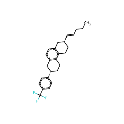 CCCC=C[C@H]1CCc2c(ccc3c2CC[C@H](c2ccc(C(F)(F)F)cc2)C3)C1